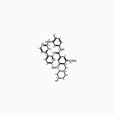 COc1cc(C(=O)Nc2ccc(C)c(Nc3nccc(-c4cccnc4)n3)c2)cc(OC)c1CN1CCN(C)CC1